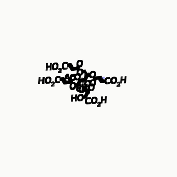 CC(=O)O[C@@H]([C@H](OC(=O)CC(O)C(=O)O)[C@@H](COC(=O)CCC(=O)O)OC(=O)/C=C/C(=O)O)[C@H](C=O)OC(=O)CCC(=O)O